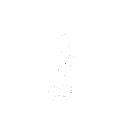 NCC1(CC2=CC=C(Cl)CC2)CCN(c2ncnc3[nH]ccc23)CC1